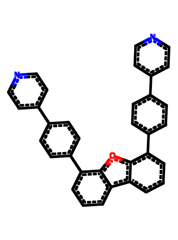 c1cc(-c2ccc(-c3ccncc3)cc2)c2oc3c(-c4ccc(-c5ccncc5)cc4)cccc3c2c1